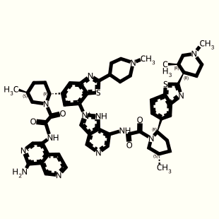 C[C@H]1CC[C@H](c2cc(-[n+]3cc4cncc(NC(=O)C(=O)N5C[C@@H](C)CC[C@@H]5c5ccc6sc([C@@H]7CCN(C)C[C@@H]7C)nc6c5)c4[nH]3)c3sc(C4CCN(C)CC4)nc3c2)N(C(=O)C(=O)Nc2cnc(N)c3cnccc23)C1